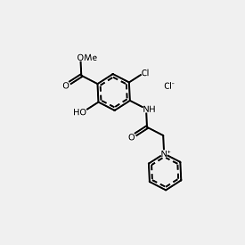 COC(=O)c1cc(Cl)c(NC(=O)C[n+]2ccccc2)cc1O.[Cl-]